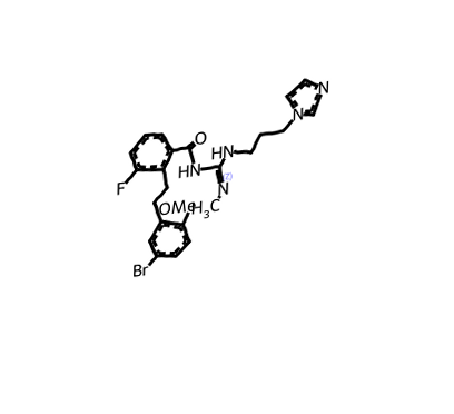 C/N=C(/NCCCn1ccnc1)NC(=O)c1cccc(F)c1CCc1cc(Br)ccc1OC